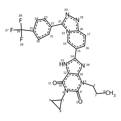 CCCn1c(=O)n(C2CC2)c(=O)c2[nH]c(-c3ccc4nnc(-c5ccc(C(F)(F)F)cc5)n4c3)nc21